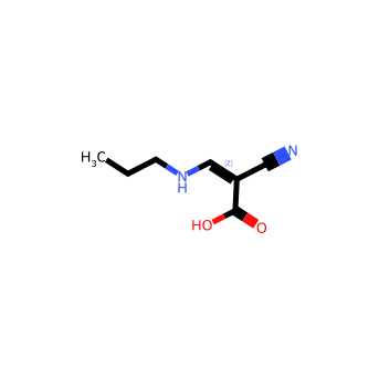 CCCN/C=C(/C#N)C(=O)O